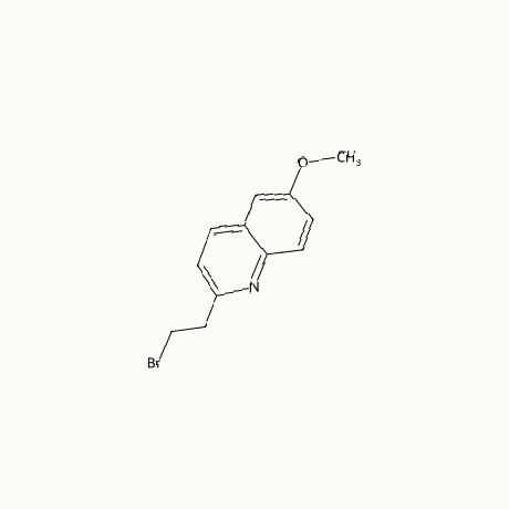 COc1ccc2nc(CCBr)ccc2c1